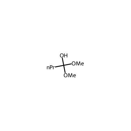 CCCC(O)(OC)OC